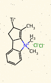 CC1=C2C(C[CH]1[Ti+])c1ccccc1[N+]2(C)C.[Cl-].[Cl-]